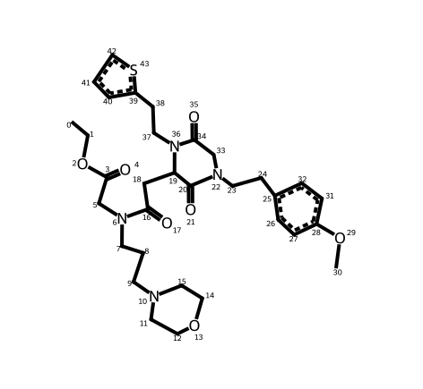 CCOC(=O)CN(CCCN1CCOCC1)C(=O)CC1C(=O)N(CCc2ccc(OC)cc2)CC(=O)N1CCc1cccs1